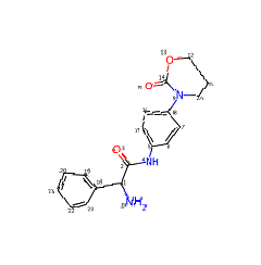 NC(C(=O)Nc1ccc(N2CCCOC2=O)cc1)c1ccccc1